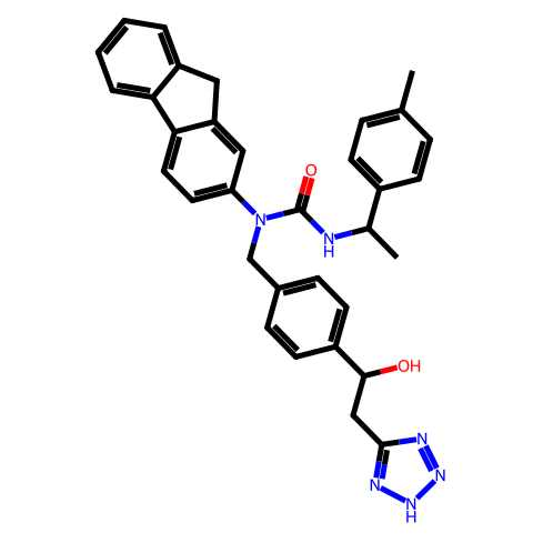 Cc1ccc(C(C)NC(=O)N(Cc2ccc(C(O)Cc3nn[nH]n3)cc2)c2ccc3c(c2)Cc2ccccc2-3)cc1